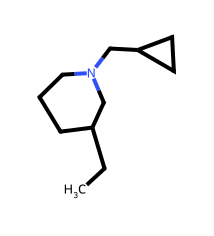 CCC1CCCN(CC2CC2)C1